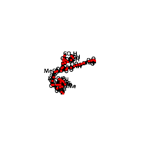 CCC(CO)OC(CO)OCCC(CO)OC(COC(=O)CCCC(=O)O)OCCC(CO)OC(COC(=O)CCCC(=O)NCCNC(=O)CCOCCOCCNC(=O)CCN1C(=O)C=CC1=O)OCCC(CO)OC(COC(=O)CCCC(=O)N[C@@H](C)C(=O)OCCCNC(=O)[C@H](Cc1ccccc1)NC(=O)[C@H](C)[C@@H](OC)[C@@H]1CCCN1C(=O)C[C@@H](OC)[C@@H](NC(=O)[C@@H](NC(=O)[C@@H](NC)C(C)C)C(C)C)[C@@H](C)CC)OC